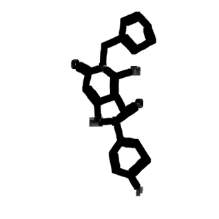 CCc1c2c(=O)n(-c3ccc(F)cc3)[nH]c2cc(=O)n1Cc1ccccc1